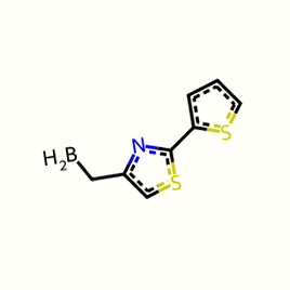 BCc1csc(-c2cccs2)n1